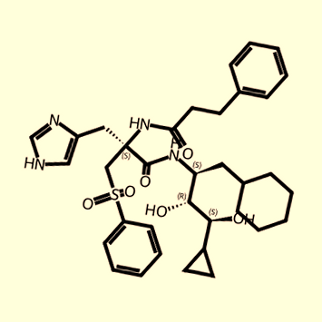 O=C(CCc1ccccc1)N[C@](Cc1c[nH]cn1)(CS(=O)(=O)c1ccccc1)C(=O)N[C@@H](CC1CCCCC1)[C@@H](O)[C@@H](O)C1CC1